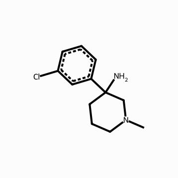 CN1CCCC(N)(c2cccc(Cl)c2)C1